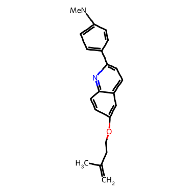 C=C(C)CCOc1ccc2nc(-c3ccc(NC)cc3)ccc2c1